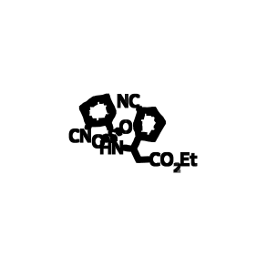 CCOC(=O)CC(NS(=O)(=O)c1ccccc1C#N)c1cccc(C#N)c1